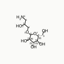 NCC(O)COC1O[C@H](CO)[C@@H](O)[C@H](O)[C@H]1O